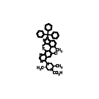 Cc1ccc2c(c(I)nn2C(c2ccccc2)(c2ccccc2)c2ccccc2)c1-c1c(Cl)cc2c(N3C[C@@H](C)N(C(=O)O)C[C@@H]3C)ncnc2c1F